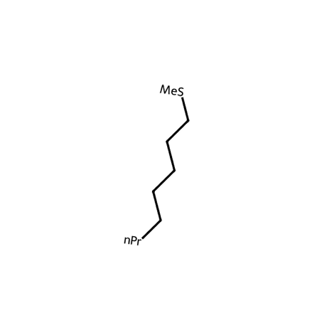 [CH2]SCCCCCCCC